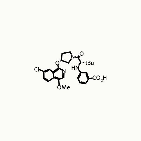 COc1cnc(O[C@@H]2CCN(C(=O)[C@@H](Nc3cccc(C(=O)O)c3)C(C)(C)C)C2)c2cc(Cl)ccc12